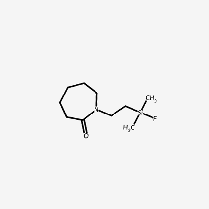 C[Si](C)(F)CCN1CCCCCC1=O